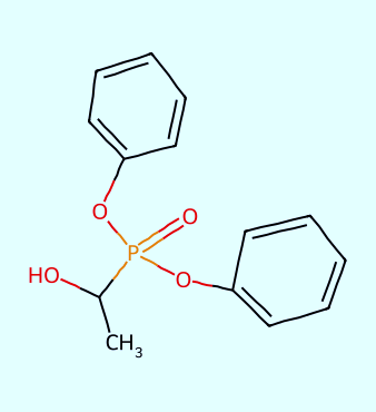 CC(O)P(=O)(Oc1ccccc1)Oc1ccccc1